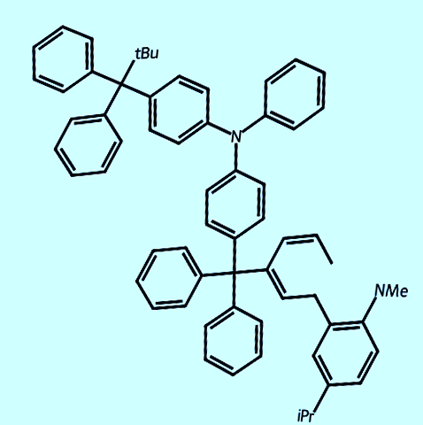 C/C=C\C(=C/Cc1cc(C(C)C)ccc1NC)C(c1ccccc1)(c1ccccc1)c1ccc(N(c2ccccc2)c2ccc(C(c3ccccc3)(c3ccccc3)C(C)(C)C)cc2)cc1